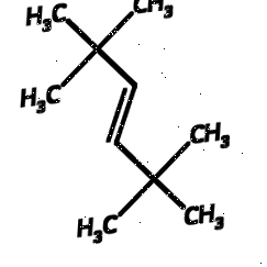 CC(C)(C)/C=C/C(C)(C)C